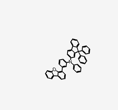 c1ccc(N(c2cccc(-c3cccc4c3oc3ccccc34)c2)c2ccc3c(c2)C(c2ccccc2)(c2ccccc2)c2ccccc2-3)cc1